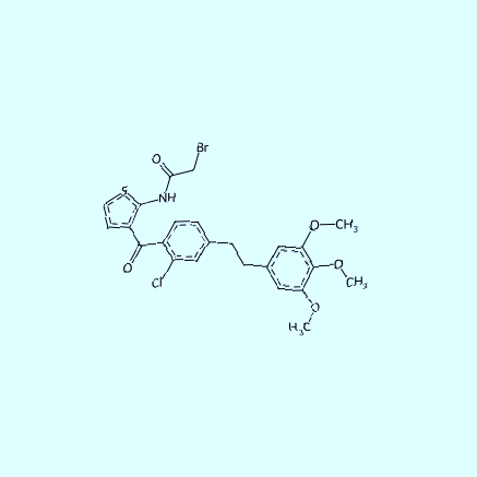 COc1cc(CCc2ccc(C(=O)c3ccsc3NC(=O)CBr)c(Cl)c2)cc(OC)c1OC